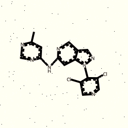 Cc1cc(Nc2cc3c(cn2)cnn3-c2c(Cl)cncc2Cl)ncn1